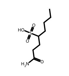 CCCCC(CCC(N)=O)S(=O)(=O)O